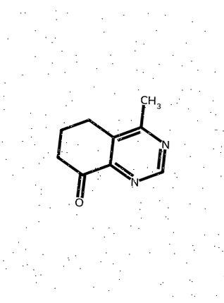 Cc1ncnc2c1CCCC2=O